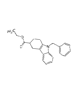 CCOC(=O)C1CCc2c(c3ccccc3n2Cc2ccccc2)C1